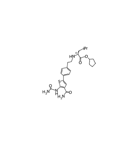 CC(C)C[C@H](NCCc1ccc(-c2cc(C(N)=O)c(NC(N)=O)s2)cc1)C(=O)OC1CCCC1